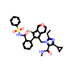 CCc1nc(C2CC2)c(C(=O)NC)n1Cc1c2ccocc-2c(Br)c1-c1ccccc1C(=O)NS(=O)(=O)c1ccccc1